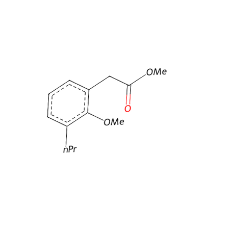 CCCc1cccc(CC(=O)OC)c1OC